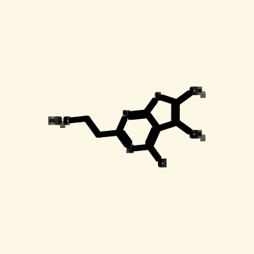 Cc1sc2nc(CCC(=O)O)nc(Cl)c2c1C